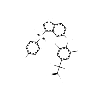 Cc1cc(C(F)(F)C(=O)O)cc(C)c1Oc1ccc2[nH]cc(S(=O)(=O)c3ccc(F)cc3)c2c1